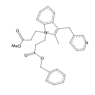 COC(=O)CC[N+]1(CCC(=O)OCc2ccccc2)C(C)=C(Cc2cccnc2)c2ccccc21